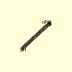 CCCOS(=S)(=S)SSSSSSSSSSSSSSSSSSSSSSSSSSSSSSSSSSSSSSSS